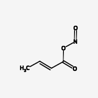 CC=CC(=O)ON=O